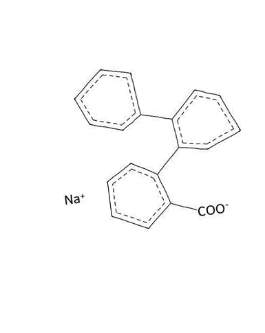 O=C([O-])c1ccccc1-c1ccccc1-c1ccccc1.[Na+]